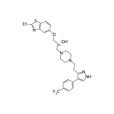 CCc1nc2cc(OC[C@H](O)CN3CCN(CCc4n[nH]cc4-c4ccc(C(F)(F)F)cc4)CC3)ccc2s1